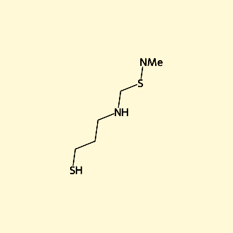 CNSCNCCCS